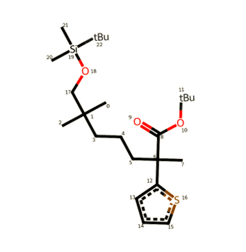 CC(C)(CCCC(C)(C(=O)OC(C)(C)C)c1cccs1)CO[Si](C)(C)C(C)(C)C